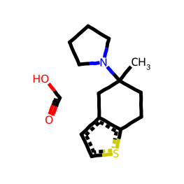 CC1(N2CCCC2)CCc2sccc2C1.O=CO